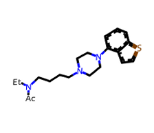 CCN(CCCCN1CCN(c2cccc3sccc23)CC1)C(C)=O